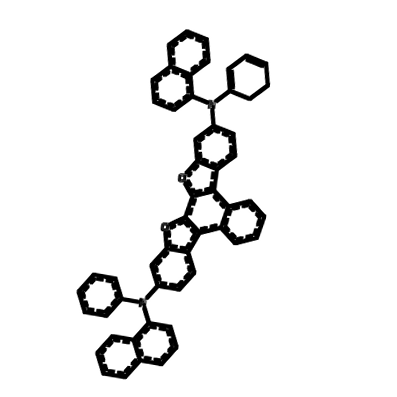 C1=CCCC(N(c2ccc3c(c2)oc2c4oc5cc(N(c6ccccc6)c6cccc7ccccc67)ccc5c4c4ccccc4c32)c2cccc3ccccc23)=C1